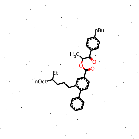 CCCCCCCCC(CC)CCCc1cc(C(=O)OC(C)C(=O)c2ccc(CCCC)cc2)ccc1-c1ccccc1